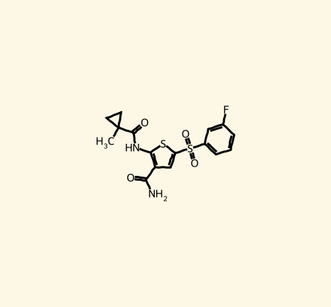 CC1(C(=O)Nc2sc(S(=O)(=O)c3cccc(F)c3)cc2C(N)=O)CC1